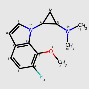 COc1c(F)ccc2ccn(C3CC3N(C)C)c12